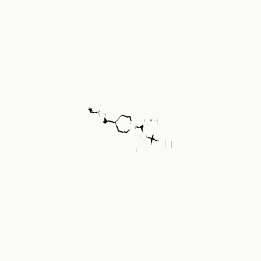 CC(C)(C)OC(=O)N1CCC(C(=O)NC=S)CC1